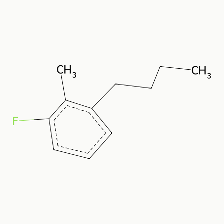 CCCCc1cccc(F)c1C